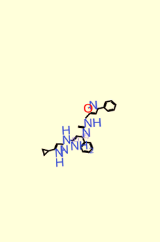 C=C(/N=C(\C=C(/N)Nc1cc(C2CC2)[nH]n1)c1ccccc1)NCc1cc(-c2ccccc2)no1